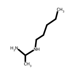 CCCCCNC(C)N